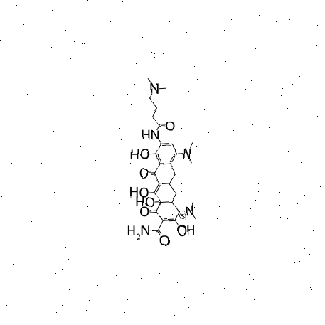 CN(C)CCCC(=O)Nc1cc(N(C)C)c2c(c1O)C(=O)C1=C(O)C3(O)C(=O)C(C(N)=O)=C(O)[C@@H](N(C)C)C3CC1C2